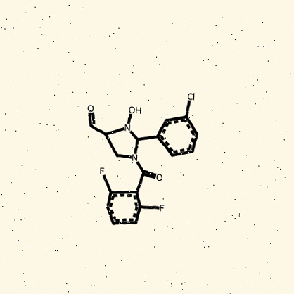 O=CC1CN(C(=O)c2c(F)cccc2F)C(c2cccc(Cl)c2)N1O